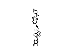 CN1CCC(N(C)c2cnc3ccc(C#CCNC(=O)c4cncn(Cc5ccc(F)c(F)c5)c4=O)cc3n2)CC1